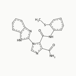 CSc1ccccc1NC(=O)c1c(C(N)=O)ncn1-c1nc2ccccc2[nH]1